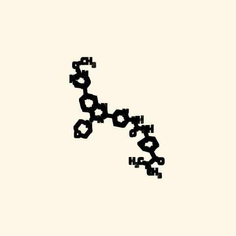 COc1ncc(-c2ccc3c(N4CCOCC4)nc(-c4ccc(NC(=O)Nc5ccc(C(=O)N(C)C)cc5)nc4)nc3c2)cn1